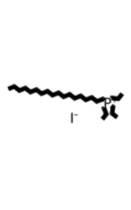 CCCCCCCCCCCCCCCCCC[P+](CCC)(CCC)CCC.[I-]